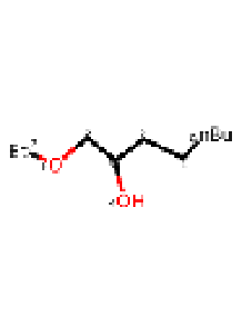 CCCCCCC(O)COCC